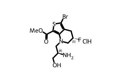 COC(=O)c1sc(Br)c2c1N(C[C@@H](N)CO)C[C@@H](F)C2.Cl